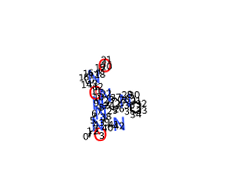 C=CC(=O)N1CCN(c2nc(OC[C@@H]3CCCN3CCOC)nc3c2CCC(N2CCc4ccccc42)C3)C[C@@H]1CC#N